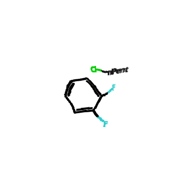 CCCCCCl.Fc1ccccc1F